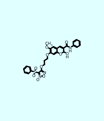 COc1cc2c(cc1OCCCOc1no[n+]([O-])c1S(=O)(=O)c1ccccc1)OC(O)C(C(=O)Nc1ccccc1)=C2